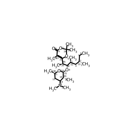 CC[C@H](C)C[C@H](C)[C@H](O[C@@H]1O[C@H](C)CC(N(C)C)[C@H]1C)[C@@H](C)C1=C(C)C(=O)OC(C)(C)O1